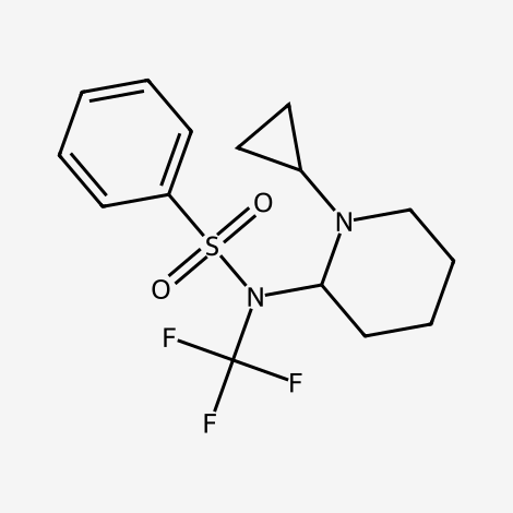 O=S(=O)(c1ccccc1)N(C1CCCCN1C1CC1)C(F)(F)F